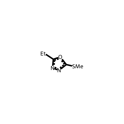 CCc1nnc(SC)o1